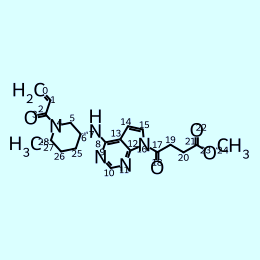 C=CC(=O)N1C[C@H](Nc2ncnc3c2ccn3C(=O)CCC(=O)OC)CC[C@@H]1C